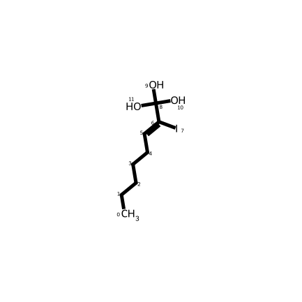 CCCCC/C=C(\I)C(O)(O)O